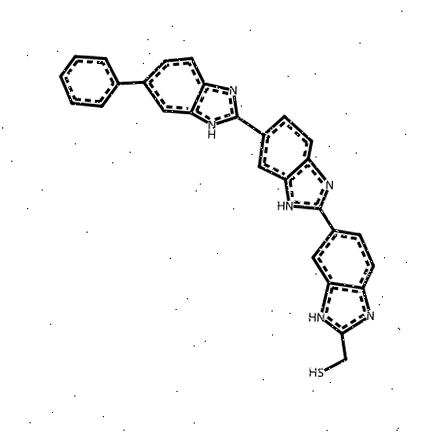 SCc1nc2ccc(-c3nc4ccc(-c5nc6ccc(-c7ccccc7)cc6[nH]5)cc4[nH]3)cc2[nH]1